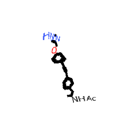 CC(=O)NC(C)Cc1ccc(C#Cc2ccc(OCc3c[nH]cn3)cc2)cc1